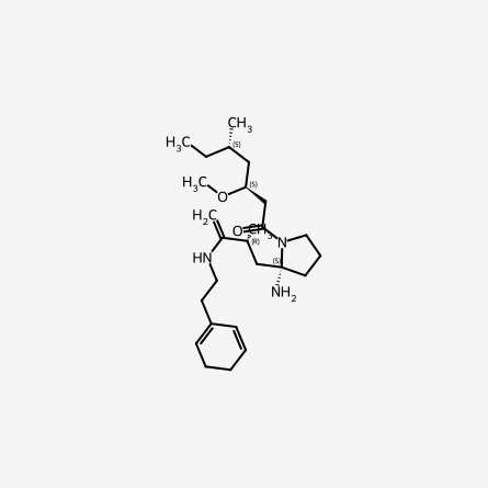 C=C(NCCC1=CCCC=C1)[C@H](C)C[C@]1(N)CCCN1C(=O)C[C@H](C[C@@H](C)CC)OC